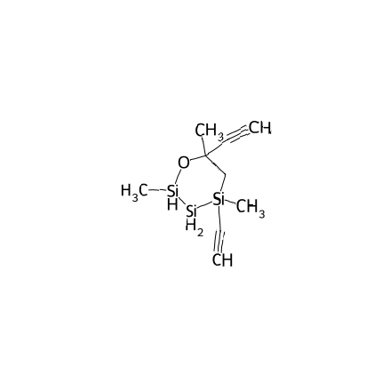 C#CC1(C)C[Si](C)(C#C)[SiH2][SiH](C)O1